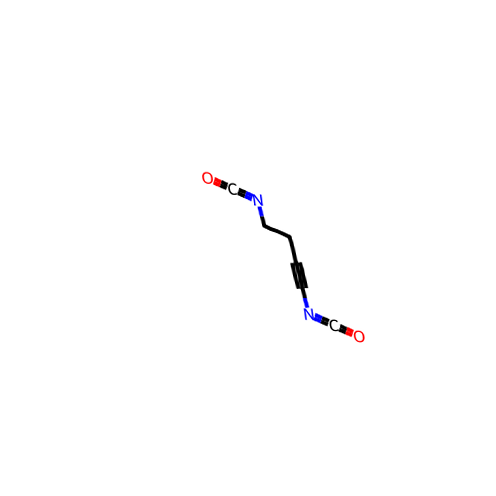 O=C=NC#CCCN=C=O